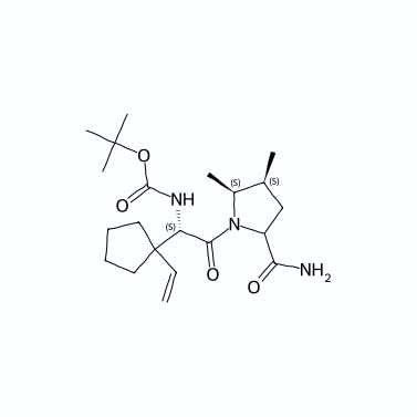 C=CC1([C@H](NC(=O)OC(C)(C)C)C(=O)N2C(C(N)=O)C[C@H](C)[C@@H]2C)CCCC1